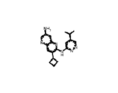 CC(C)c1cnnc(Nc2nc3cc(N)cnc3cc2C2CCC2)c1